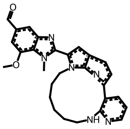 COc1cc(C=O)cc2nc(-c3cc4ccc5nc4n3CCCCCCNc3ncccc3-5)n(C)c12